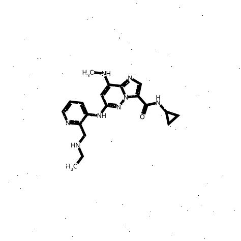 CCNCc1ncccc1Nc1cc(NC)c2ncc(C(=O)NC3CC3)n2n1